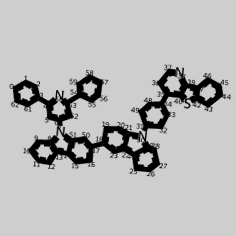 c1ccc(-c2cc(-n3c4ccccc4c4ccc(-c5ccc6c(c5)c5ccccc5n6-c5ccc(-c6ccnc7c6sc6ccccc67)cc5)cc43)cc(-c3ccccc3)n2)cc1